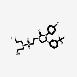 O=C1N(CCS(=O)(=O)N(CCO)CCO)C[C@H](c2cccc(C(F)(F)F)c2)N1c1ccc(Cl)cc1